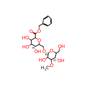 COC1C(O)[C@H](OCC2OC(C(=O)OCc3ccccc3)C(O)C(O)[C@H]2O)OC(CO)[C@@H]1O